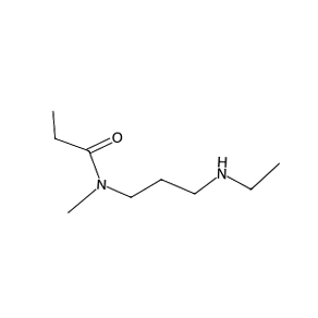 CCNCCCN(C)C(=O)CC